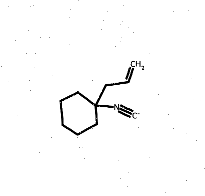 [C-]#[N+]C1(CC=C)CCCCC1